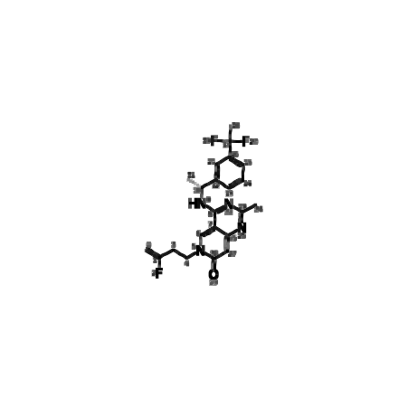 C=C(F)CCn1cc2c(N[C@H](C)c3cccc(C(C)(F)F)c3)nc(C)nc2cc1=O